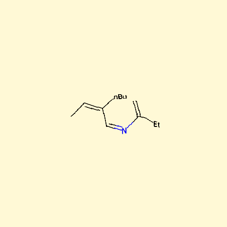 C=C(CC)/N=C\C(=C/C)CCCC